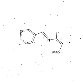 CS/C=C(C)\N=C\c1ccccc1